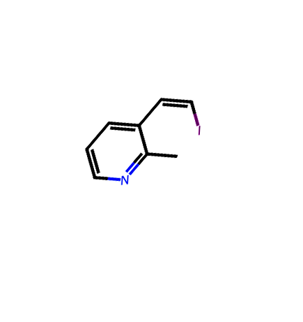 Cc1ncccc1/C=C\I